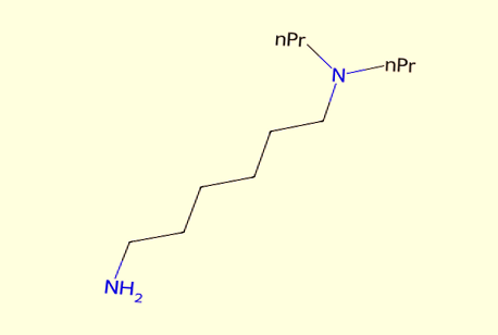 CCCN(CCC)CCCCCCN